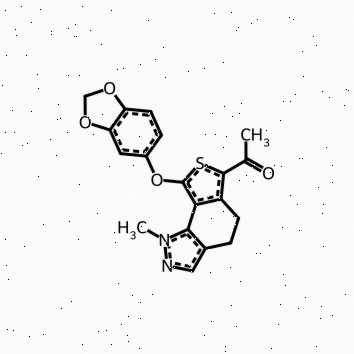 CC(=O)c1sc(Oc2ccc3c(c2)OCO3)c2c1CCc1cnn(C)c1-2